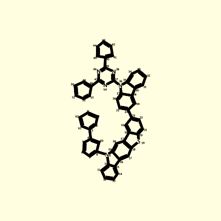 c1ccc(-c2cccc(-n3c4ccccc4c4cc5sc6ccc(-c7ccc8c(c7)c7ccccc7n8-c7nc(-c8ccccc8)nc(-c8ccccc8)n7)cc6c5cc43)c2)cc1